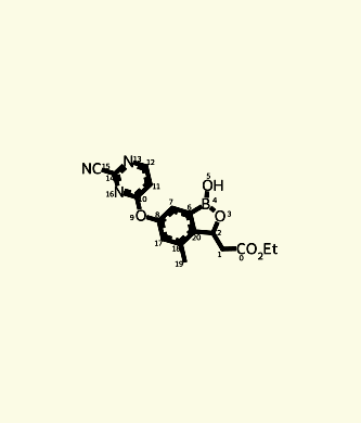 CCOC(=O)CC1OB(O)c2cc(Oc3ccnc(C#N)n3)cc(C)c21